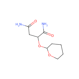 NC(=O)CC(OC1CCCCO1)C(N)=O